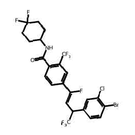 O=C(NC1CCC(F)(F)CC1)c1ccc(/C(F)=C/C(c2ccc(Br)c(Cl)c2)C(F)(F)F)cc1C(F)(F)F